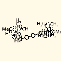 COC(=O)N[C@H](C(=O)N1[C@@H](C)CC[C@H]1c1nc(-c2ccc(-c3ccc(-c4c[nH]c([C@@H]5CC[C@H](C)N5C(=O)[C@@H](NC(=O)OC)C5C[C@@H](C)O[C@H](C)C5)n4)cc3)cc2)c[nH]1)C1C[C@@H](C)O[C@H](C)C1